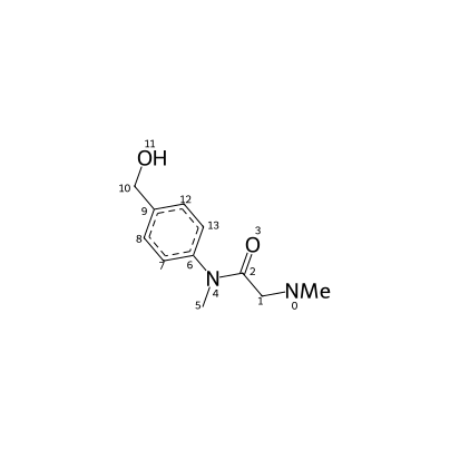 CNCC(=O)N(C)c1ccc(CO)cc1